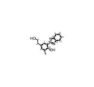 Cc1cc(CCO)cc(-n2nc3ccccc3n2)c1O